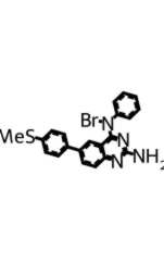 CSc1ccc(-c2ccc3nc(N)nc(N(Br)c4ccccc4)c3c2)cc1